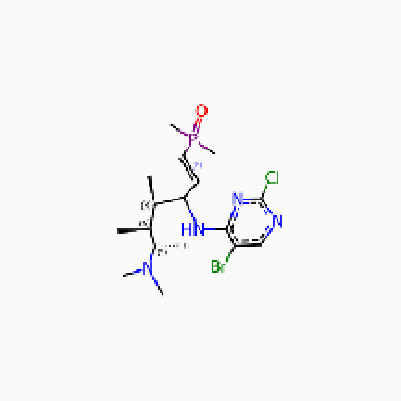 C[C@@H]([C@@H](C)C(/C=C/P(C)(C)=O)Nc1nc(Cl)ncc1Br)[C@H](C)N(C)C